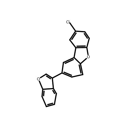 Clc1ccc2oc3ccc(-c4coc5ccccc45)cc3c2c1